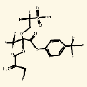 C=C(CF)C(=O)OC(OCC(F)(F)S(=O)(=O)O)(C(=O)Oc1ccc(C(F)(F)F)cc1)C(F)(F)F